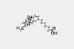 [2H]C(/C=C\CCCCCCCC(=O)O)/C=C\C([2H])([2H])/C=C\CC